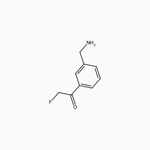 NCc1cccc(C(=O)CF)c1